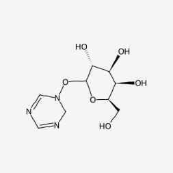 OC[C@H]1OC(ON2C=NC=NC2)[C@H](O)[C@@H](O)[C@H]1O